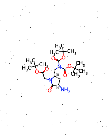 CC(C)(C)OC(=O)CN1C(=O)[C@H](N)C[C@H]1CN(C(=O)OC(C)(C)C)C(=O)OC(C)(C)C